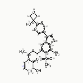 C/C=C\N(C(=O)CO)[C@H](C)CCc1nc2c(-c3ccc(C4(O)COC4)nc3)cnn2c(N)c1S(C)(=O)=O